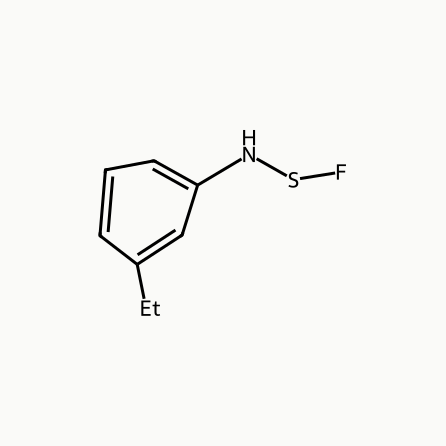 CCc1cccc(NSF)c1